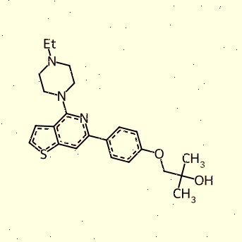 CCN1CCN(c2nc(-c3ccc(OCC(C)(C)O)cc3)cc3sccc23)CC1